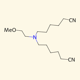 COCCN(CCCCCC#N)CCCCCC#N